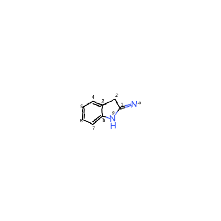 [N]=C1Cc2ccccc2N1